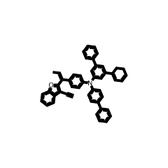 C#Cc1c(/C(=C\C)c2ccc(N(c3ccc(-c4ccccc4)cc3)c3cc(C4=CC=CCC4)cc(-c4ccccc4)c3)cc2)oc2ccccc12